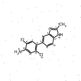 Cc1nc2cc(-c3cc(F)c(N)cc3Cl)ccc2[nH]1